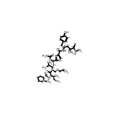 C=CCOCN(C(=O)[C@@H](NC(=O)[C@H]1CCCCN1C)C(C)CC)[C@H](C[C@@H](OC(C)=O)c1nc(C(=O)N[C@@H](Cc2ccc(O)cc2)C[C@H](C)C(=O)NN)cs1)C(C)C